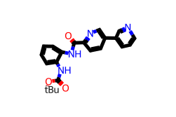 CC(C)(C)OC(=O)Nc1ccccc1NC(=O)c1ccc(-c2cccnc2)cn1